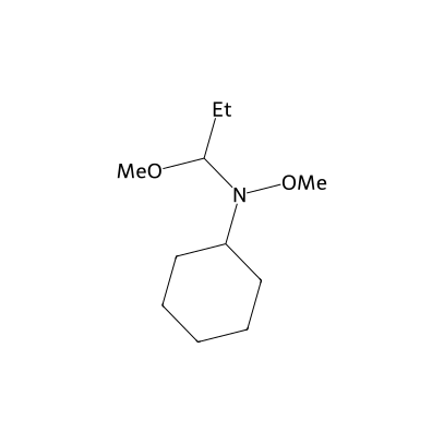 CCC(OC)N(OC)C1CCCCC1